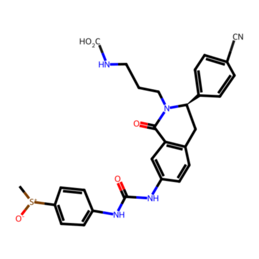 C[S+]([O-])c1ccc(NC(=O)Nc2ccc3c(c2)C(=O)N(CCCNC(=O)O)[C@@H](c2ccc(C#N)cc2)C3)cc1